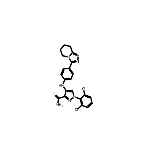 NC(=O)c1nn(-c2c(Cl)cccc2Cl)cc1Nc1ccc(-c2nnc3n2CCCC3)cc1